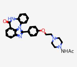 CC(=O)NN1CCN(CCOc2ccc(-c3nc4cccc5c4n3-c3ccccc3NC5=O)cc2)CC1